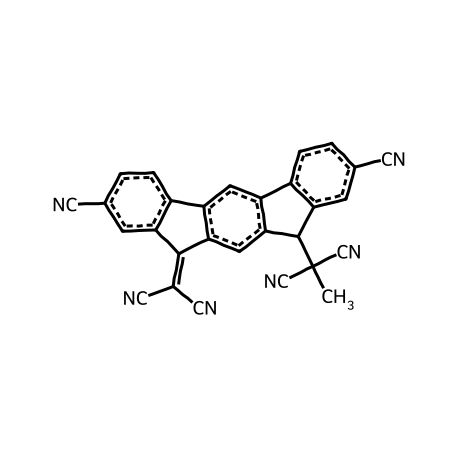 CC(C#N)(C#N)C1c2cc(C#N)ccc2-c2cc3c(cc21)C(=C(C#N)C#N)c1cc(C#N)ccc1-3